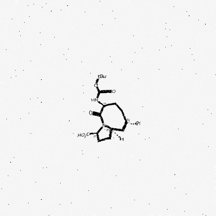 CC(C)[C@H]1CC[C@H](NC(=O)OC(C)(C)C)C(=O)N2[C@H](CC[C@H]2C(=O)O)C1